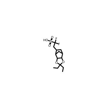 CCC1(CC)OC2C3CC(CC(F)(F)S(=O)(=O)O)C(C3)C2O1